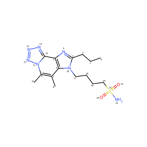 CCCc1nc2c(c(C)c(C)n3nnnc23)n1CCCCS(N)(=O)=O